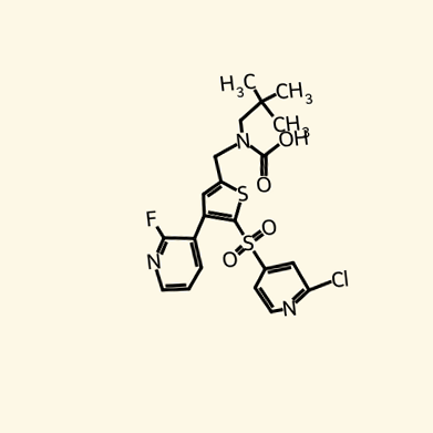 CC(C)(C)CN(Cc1cc(-c2cccnc2F)c(S(=O)(=O)c2ccnc(Cl)c2)s1)C(=O)O